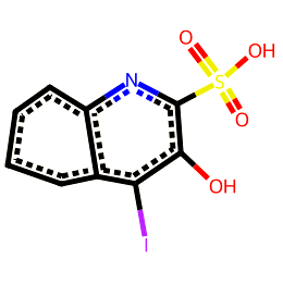 O=S(=O)(O)c1nc2ccccc2c(I)c1O